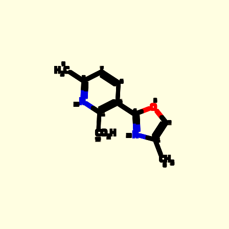 Cc1coc(-c2ccc(C)nc2C(=O)O)n1